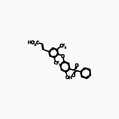 O=C(O)C=Cc1cc(C(F)(F)F)c(Oc2ccc(O)c(S(=O)(=O)c3ccccc3)c2)c(C(F)(F)F)c1